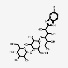 OCC1O[C@H](O[C@@H]2C(CO)O[C@H](O[C@H](C(O)CO)C(O)C(O)c3nc4cc(F)ccc4[nH]3)C(O)C2O)C(O)C(O)[C@@H]1O